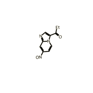 CCC(=O)c1cnc2cc(N=O)ccn12